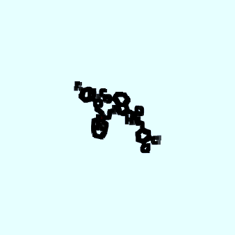 COc1cccc2c(C(=O)NCc3ccc(Cl)c(Cl)c3)cn(CCCN3C4CCC3CN(CCOc3ccc(F)cc3)C4)c12